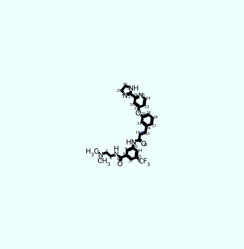 CN(C)CCNC(=O)c1cc(NC(=O)/C=C/c2cccc(Oc3ccnc(C4=NCCN4)c3)c2)cc(C(F)(F)F)c1